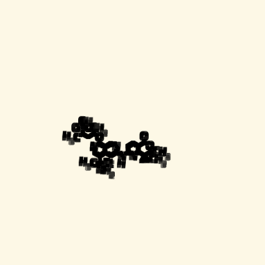 CCC(C)(N)c1cnc(O[C@H](C)C[C@@H](C)S(C)(=O)=O)c2cnc(Nc3ccc4c(n3)C3(CC3)C(C)(C)OC4=O)cc12